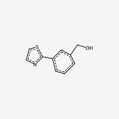 OCc1cccc(-c2nccs2)c1